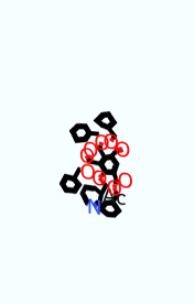 CC(=O)C1(COc2c(C(=O)OCc3ccccc3)cc(C(=O)OCc3ccccc3)c(C(=O)OCc3ccccc3)c2C(=O)OCc2ccccc2)C=CC=CN=C1